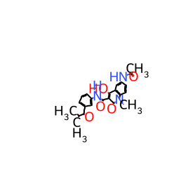 CC(=O)Nc1ccc2c(c1)c(O)c(C(=O)Nc1cccc(C(=O)C(C)C)c1)c(=O)n2C